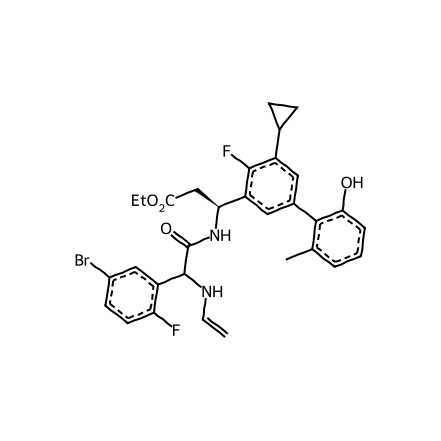 C=CNC(C(=O)N[C@@H](CC(=O)OCC)c1cc(-c2c(C)cccc2O)cc(C2CC2)c1F)c1cc(Br)ccc1F